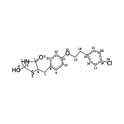 O=C1NC(O)SC1Cc1ccc(OCCc2ccc(Cl)cc2)cc1